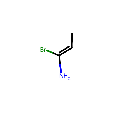 CC=C(N)Br